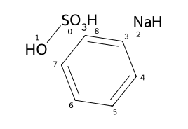 O=S(=O)(O)O.[NaH].c1ccccc1